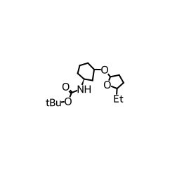 CCC1CCC(OC2CCC[C@H](NC(=O)OC(C)(C)C)C2)O1